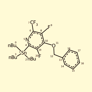 CCC[CH2][Sn]([CH2]CCC)([CH2]CCC)[c]1nc(C(F)(F)F)c(F)c(OCc2ccccc2)c1F